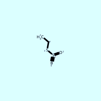 B#S(=O)SCC